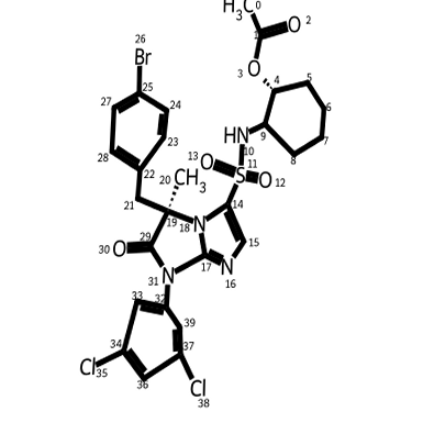 CC(=O)O[C@@H]1CCCCC1NS(=O)(=O)c1cnc2n1[C@](C)(Cc1ccc(Br)cc1)C(=O)N2c1cc(Cl)cc(Cl)c1